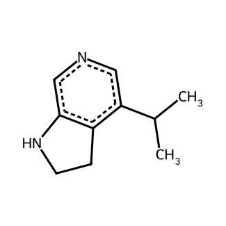 CC(C)c1cncc2c1CCN2